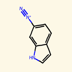 N#[N+]c1ccc2cc[nH]c2c1